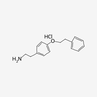 Cl.NCCc1ccc(OCCc2ccccc2)cc1